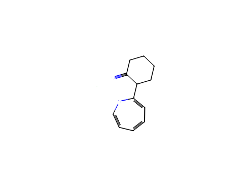 Cl.N=C1CCCCC1C1=CC=CC=CN1